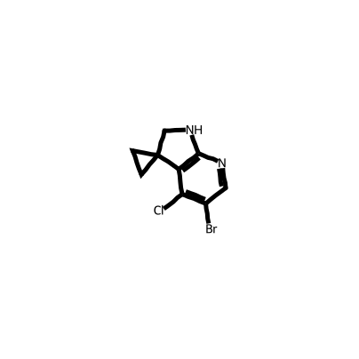 Clc1c(Br)cnc2c1C1(CC1)CN2